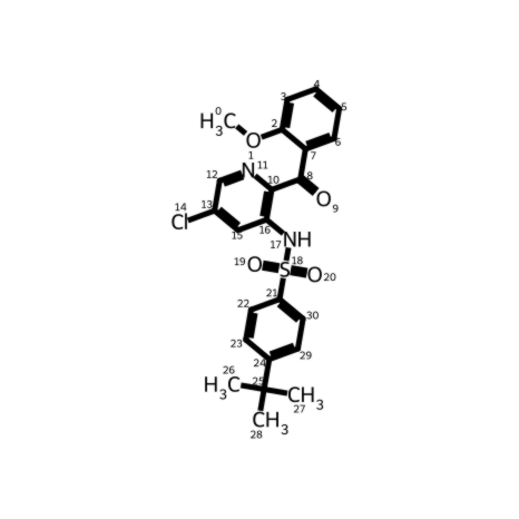 COc1ccccc1C(=O)c1ncc(Cl)cc1NS(=O)(=O)c1ccc(C(C)(C)C)cc1